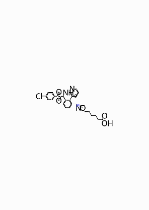 NC(c1cccc(/C=N/OCCCCCC(=O)O)c1-c1cccnc1)S(=O)(=O)c1ccc(Cl)cc1